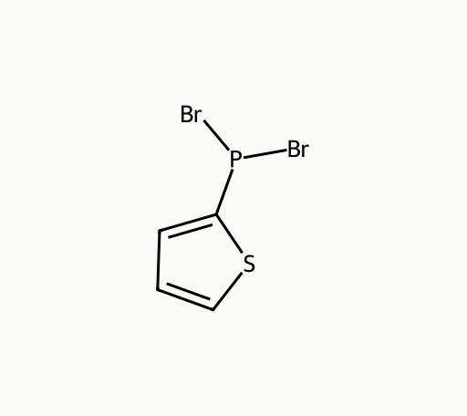 BrP(Br)c1cccs1